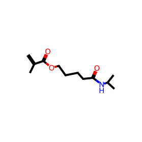 C=C(C)C(=O)OCCCCC(=O)NC(C)C